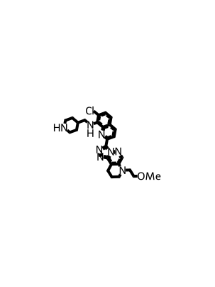 COCCN1CCCc2c1cnn1c(-c3ccc4ccc(Cl)c(NCC5CCNCC5)c4n3)nnc21